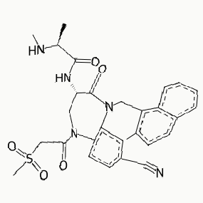 CN[C@@H](C)C(=O)N[C@H]1CN(C(=O)CS(C)(=O)=O)c2ccc(C#N)cc2N(Cc2c(C)ccc3ccccc23)C1=O